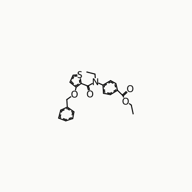 CCOC(=O)c1ccc(N(CC)C(=O)c2sccc2OCc2ccccc2)cc1